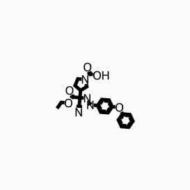 CCOC(=O)C(C#N)(N=Nc1ccc(Oc2ccccc2)cc1)C1CCN(C(=O)O)C1